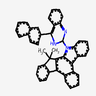 CC1(C)c2ccccc2-c2c1c1c(c3ccccc23)c2ccccc2n1C1N=c2ccccc2=C(c2ccc3ccccc3c2)N1